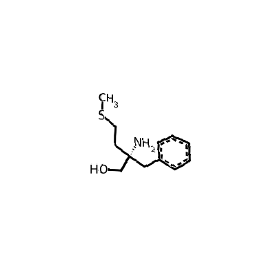 CSCC[C@](N)(CO)Cc1ccccc1